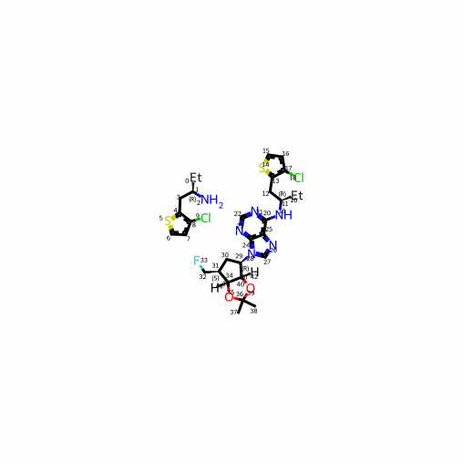 CC[C@@H](N)Cc1sccc1Cl.CC[C@H](Cc1sccc1Cl)Nc1ncnc2c1ncn2[C@@H]1C[C@H](CF)[C@H]2OC(C)(C)O[C@H]21